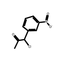 CC(=O)C(Cl)c1cccc([N+](=O)[O-])c1